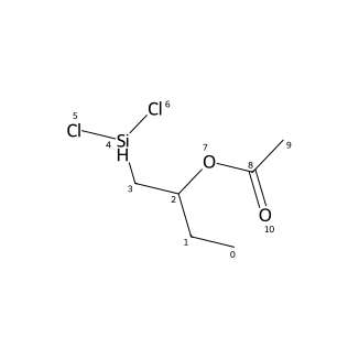 CCC(C[SiH](Cl)Cl)OC(C)=O